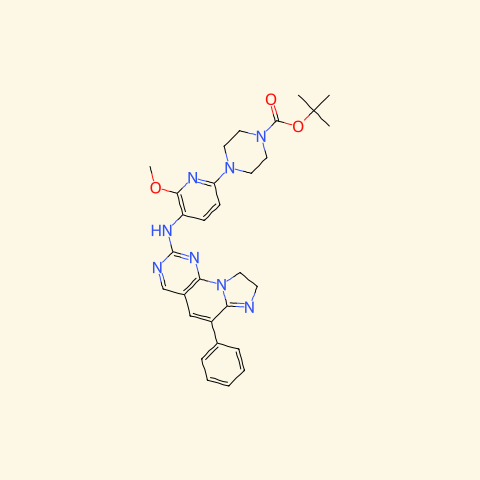 COc1nc(N2CCN(C(=O)OC(C)(C)C)CC2)ccc1Nc1ncc2c(n1)N1CCN=C1C(c1ccccc1)=C2